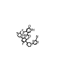 CC1CN(c2cc(F)c(C3=CCCN(c4ccnc(C#N)n4)C3)c(F)c2NC(=O)c2c[nH]c(=O)cc2C(F)F)CCN1C